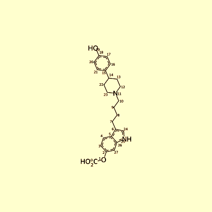 O=C(O)Oc1ccc2c(CCCCN3CCC(c4ccc(O)cc4)CC3)c[nH]c2c1